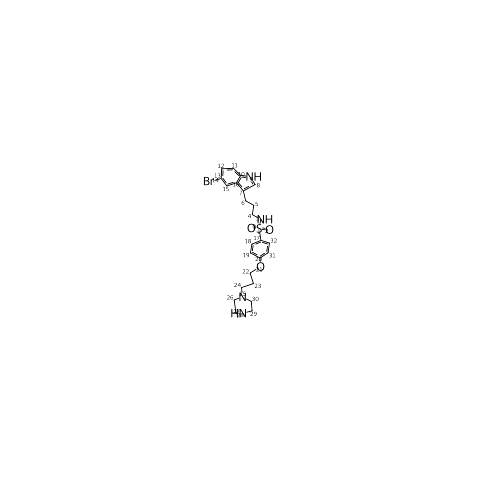 O=S(=O)(NCCCc1c[nH]c2ccc(Br)cc12)c1ccc(OCCCN2CCNCC2)cc1